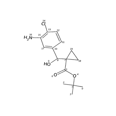 CC(C)(C)OC(=O)C1(C(O)c2ccc(Cl)c(N)c2)CC1